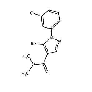 CN(C)C(=O)c1cnn(-c2cccc(Cl)c2)c1Br